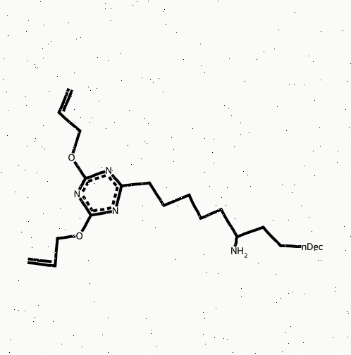 C=CCOc1nc(CCCCCC(N)CCCCCCCCCCCC)nc(OCC=C)n1